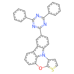 c1ccc(-c2nc(-c3ccccc3)nc(-c3ccc4c(c3)c3cccc5c3n4-c3ccsc3O5)n2)cc1